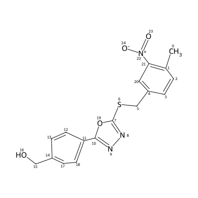 Cc1ccc(CSc2nnc(-c3ccc(CO)cc3)o2)cc1[N+](=O)[O-]